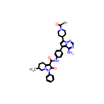 CC1CCc2c(C(=O)Nc3ccc(-c4cc(C5CCN(C(=O)C(C)C)CC5)n5ncnc(N)c45)cc3)c(=O)n(-c3ccccc3)n2C1